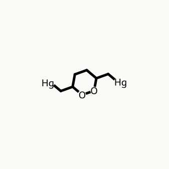 [Hg][CH2]C1CCC([CH2][Hg])OO1